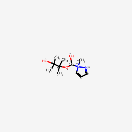 CC(C)(O)C(C)(C)OB(O)[N+]1(C)C=CC=N1